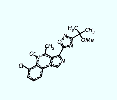 COC(C)(C)c1noc(-c2ncn3c2c(C)[n+]([O-])c2c(Cl)cccc23)n1